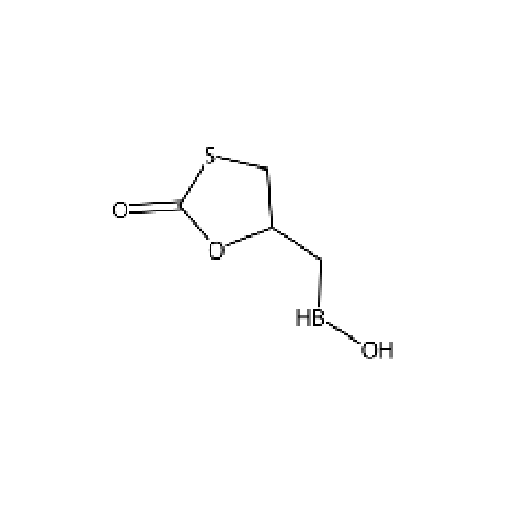 O=C1OC(CBO)CS1